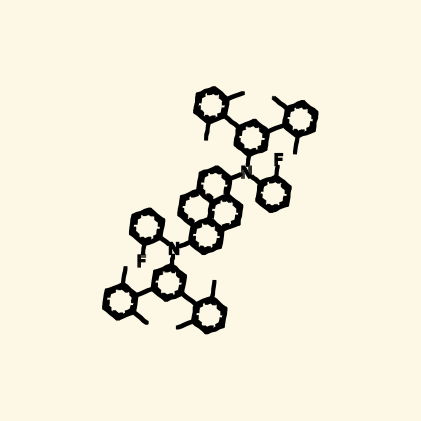 Cc1cccc(C)c1-c1cc(-c2c(C)cccc2C)cc(N(c2ccccc2F)c2ccc3ccc4c(N(c5cc(-c6c(C)cccc6C)cc(-c6c(C)cccc6C)c5)c5ccccc5F)ccc5ccc2c3c54)c1